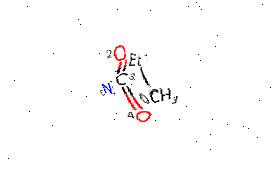 CCC.O=C=O.[N]